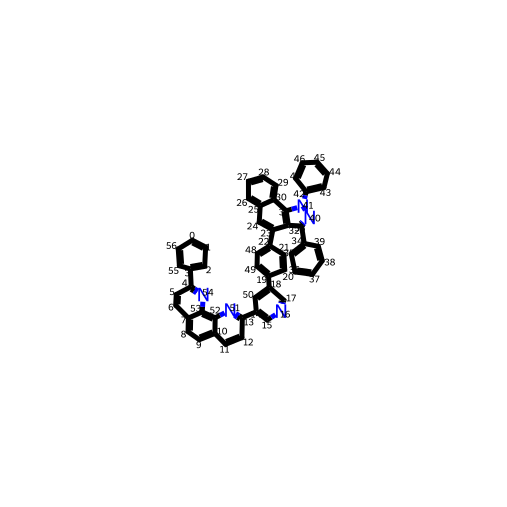 c1ccc(-c2ccc3ccc4ccc(-c5cncc(-c6ccc(-c7cc8ccccc8c8c7c(-c7ccccc7)nn8-c7ccccc7)cc6)c5)nc4c3n2)cc1